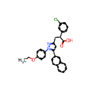 CCOc1ccc(-n2nc(CC(C(=O)O)c3cccc(Cl)c3)cc2-c2ccc3ccccc3c2)cc1